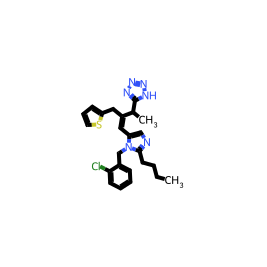 CCCCc1ncc(C=C(Cc2cccs2)C(C)c2nnn[nH]2)n1Cc1ccccc1Cl